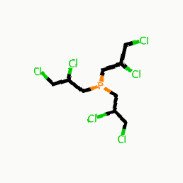 ClCC(Cl)CP(CC(Cl)CCl)CC(Cl)CCl